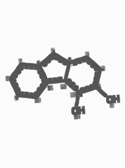 Oc1ccc2cc3ccccc3c-2n1O